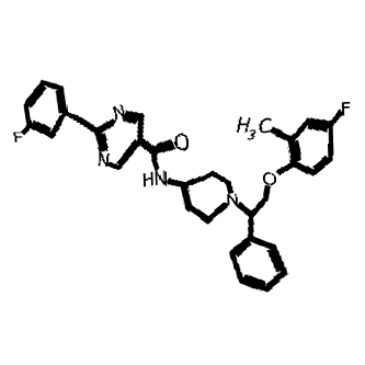 Cc1cc(F)ccc1OCC(c1ccccc1)N1CCC(NC(=O)c2cnc(-c3cccc(F)c3)nc2)CC1